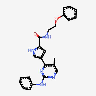 Cc1cnc(Nc2ccccc2)nc1-c1c[nH]c(C(=O)NCCOc2ccccc2)c1